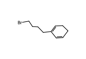 BrCCCCC1=CCCC=C1